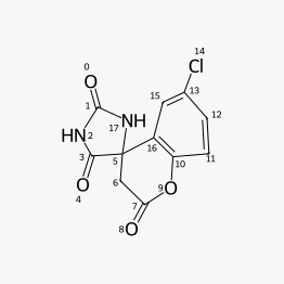 O=C1NC(=O)C2(CC(=O)Oc3ccc(Cl)cc32)N1